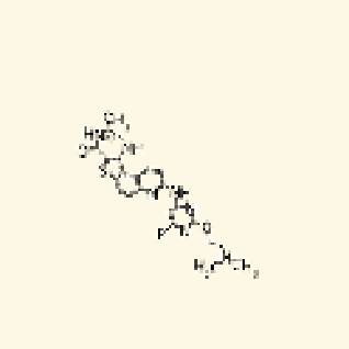 C[C@@H]1CNc2c(sc3ccc4nc(Nc5cc(F)nc(OCCN(C)C)n5)ccc4c23)C(=O)N1